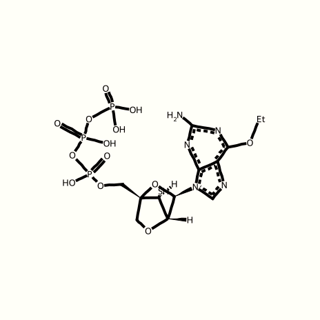 CCOc1nc(N)nc2c1ncn2[C@@H]1O[C@@]2(COP(=O)(O)OP(=O)(O)OP(=O)(O)O)CO[C@@H]1[C@@H]2S